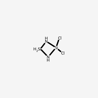 Cl[Si]1(Cl)N[SiH2]N1